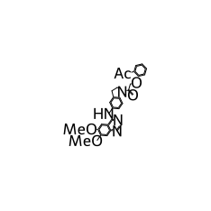 COc1cc2ncnc(Nc3ccc4c(c3)CCN4C(=O)COc3ccccc3C(C)=O)c2cc1OC